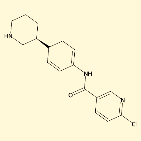 O=C(NC1=CCC([C@@H]2CCCNC2)C=C1)c1ccc(Cl)nc1